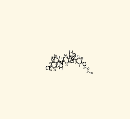 CCCCOc1ccc(S(=O)(=O)NC2CCC(Nc3ccnc4cc(Cl)ccc34)CC2)cc1